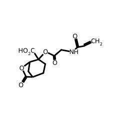 C=CC(=O)NCC(=O)OC1(C(=O)O)CCC2CC1OC2=O